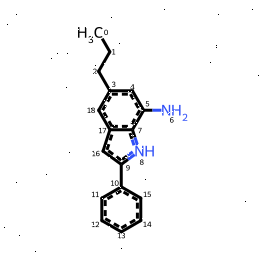 CCCc1cc(N)c2[nH]c(-c3ccccc3)cc2c1